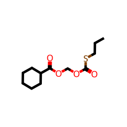 CCCSC(=O)OCOC(=O)C1CCCCC1